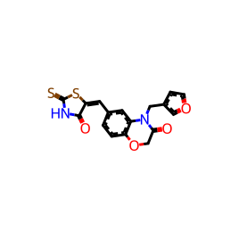 O=C1NC(=S)S/C1=C/c1ccc2c(c1)N(Cc1ccoc1)C(=O)CO2